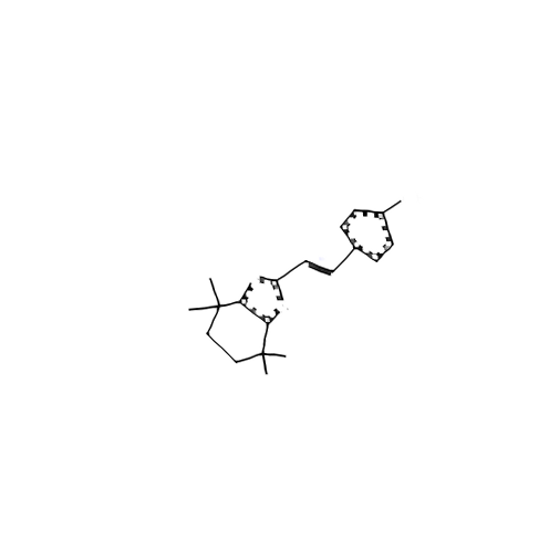 CC1(C)CCC(C)(C)c2sc(/C=C/c3ccc(C=O)cc3)nc21